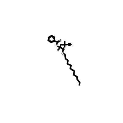 CCCCCCCCCCCCOC(=O)C(C)(CC(C)(C)C#N)SC(=S)c1ccccc1